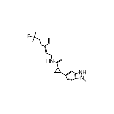 C=C/C(=C\CNC(=C)C1CC1c1ccc2c(c1)[nH]n2C)CCC(C)(C)F